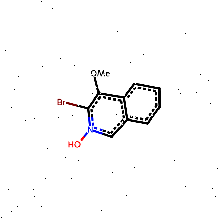 COc1c(Br)[n+](O)cc2ccccc12